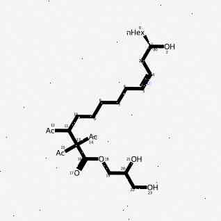 CCCCCC[C@@H](O)C/C=C\CCCCCC(C(C)=O)C(C(C)=O)(C(C)=O)C(=O)OCC(O)CO